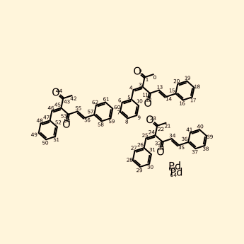 CC(=O)C(=Cc1ccccc1)C(=O)C=Cc1ccccc1.CC(=O)C(=Cc1ccccc1)C(=O)C=Cc1ccccc1.CC(=O)C(=Cc1ccccc1)C(=O)C=Cc1ccccc1.[Pd].[Pd]